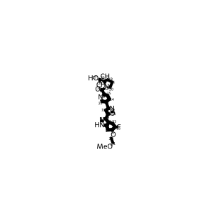 COCCOc1cc2[nH]nc(-c3cc(-c4ccc(C(=O)N5CCC[C@@H]5C(C)(C)O)nc4)no3)c2cc1F